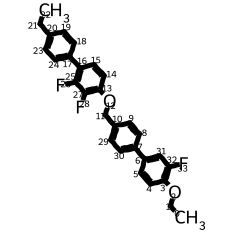 CCOc1ccc(-c2ccc(COc3ccc(-c4ccc(CC)cc4)c(F)c3F)cc2)cc1F